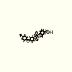 O=C(NS(=O)(=O)c1ccc(Oc2ccc(F)cc2)cc1)c1ccc(CO)nc1